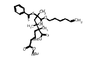 C=CCCCCOC(=O)C(C)(CC(C)(C)C(C)(CCCC(=O)OCCCC)C(=O)OC)SC(=S)c1ccccc1